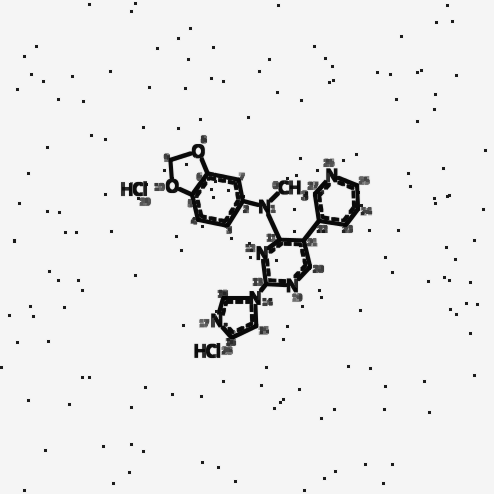 CN(c1ccc2c(c1)OCO2)c1nc(-n2ccnc2)ncc1-c1cccnc1.Cl.Cl